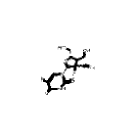 C#CC1(F)C(CO)[C@@H](CO)O[C@H]1n1cc(F)c(=O)[nH]c1=S